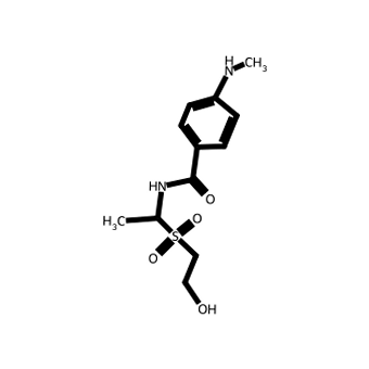 CNc1ccc(C(=O)NC(C)S(=O)(=O)CCO)cc1